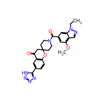 CCn1ncc2c(OC)cc(C(=O)N3CCC4(CC3)CC(=O)c3cc(-c5nnn[nH]5)ccc3O4)cc21